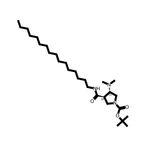 CCCCCCCCCCCCCCCCNC(=O)[C@@H]1CN(C(=O)OC(C)(C)C)C[C@H]1N(C)C